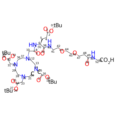 CC(C)(C)OC(=O)CC[C@H](NC(=O)CN1CCN(CC(=O)OC(C)(C)C)CCN(CC(=O)OC(C)(C)C)CCN(CC(=O)OC(C)(C)C)CC1)C(=O)NCCOCCOCCC(=O)NCC(=O)O